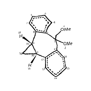 COC1(OC)c2ccccc2[C@H]2C[C@H]2c2ccccc21